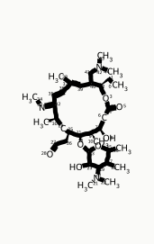 CC[C@H]1OC(=O)C[C@@H](O)[C@H](C)[C@@H](OC2OC(C)C(C)C(N(C)C)C2O)[C@@H](CC=O)C[C@@H](C)C(=NC)/C=C/C(C)=C/C1CN(C)C